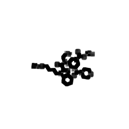 COCCCCn1c(C(=O)N(CC(C)C)[C@H]2C[C@@H](C(=O)N3CCOCC3)CN(C(=O)OC(C)(C)C)C2)nc2c1CCCC2